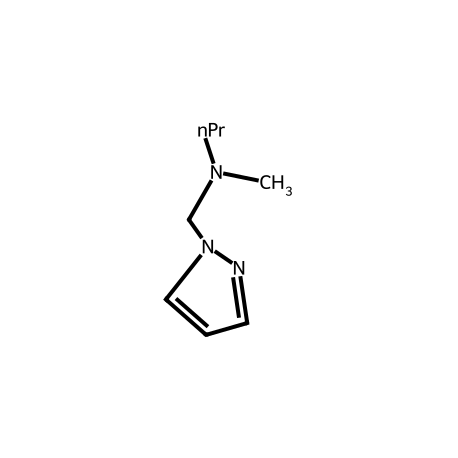 CCCN(C)Cn1cccn1